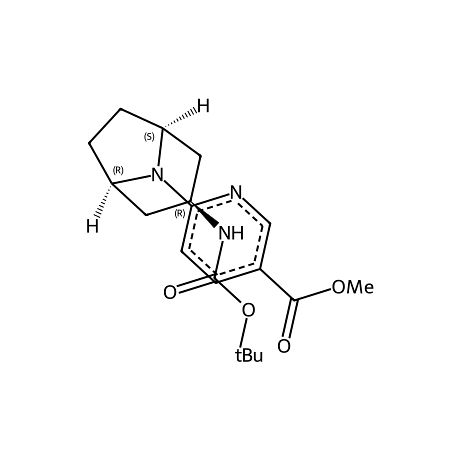 COC(=O)c1ccc(N2[C@@H]3CC[C@H]2C[C@@H](NC(=O)OC(C)(C)C)C3)nc1